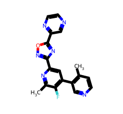 Cc1ccncc1-c1cc(-c2noc(-c3cnccn3)n2)nc(C)c1F